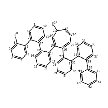 Ic1ccccc1-c1ccccc1-c1ccccc1C1=CC(I)C=CC=C1c1ccccc1-c1ccccc1-c1ccccc1